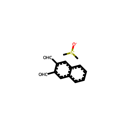 C[S+](C)[O-].O=Cc1cc2ccccc2cc1C=O